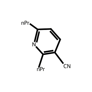 CCCc1ccc(C#N)c(CCC)n1